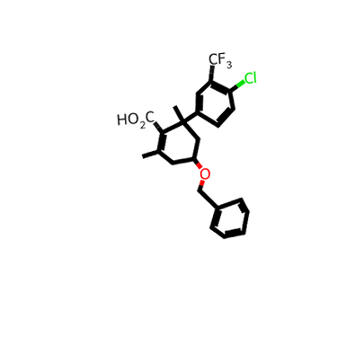 CC1=C(C(=O)O)C(C)(c2ccc(Cl)c(C(F)(F)F)c2)CC(OCc2ccccc2)C1